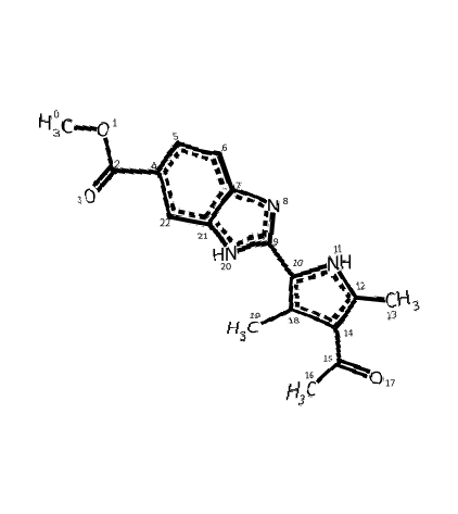 COC(=O)c1ccc2nc(-c3[nH]c(C)c(C(C)=O)c3C)[nH]c2c1